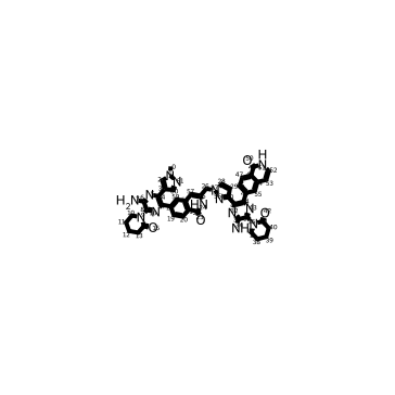 Cn1cc(-c2nc(N)c(N3CCCCC3=O)nc2-c2ccc3c(=O)[nH]c(Cn4ccc(-c5nc(N)c(N6CCCCC6=O)nc5-c5ccc6c(=O)[nH]ccc6c5)n4)cc3c2)cn1